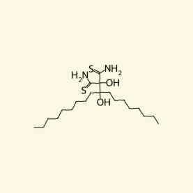 CCCCCCCCCC(O)(CCCCCCCC)C(O)(C(N)=S)C(N)=S